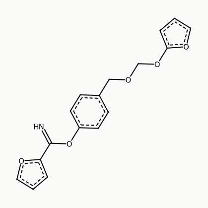 N=C(Oc1ccc(COCOc2ccco2)cc1)c1ccco1